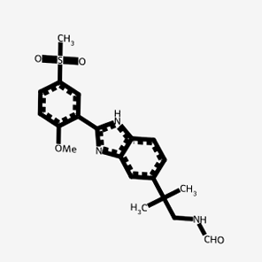 COc1ccc(S(C)(=O)=O)cc1-c1nc2cc(C(C)(C)CNC=O)ccc2[nH]1